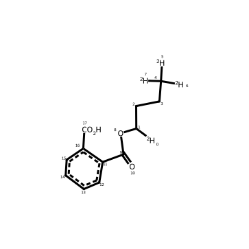 [2H]C(CCC([2H])([2H])[2H])OC(=O)c1ccccc1C(=O)O